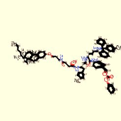 COc1ccc(C(NCCCC[C@H](NC(=O)C[C@H](Cc2ccc(C#N)cc2)NC(=O)CCC(=O)NCCCO[C@H]2CC[C@@]3(C)C(=CC[C@H]4[C@@H]5CC[C@H]([C@H](C)CCCC(C)C)[C@@]5(C)CC[C@@H]43)C2)C(=O)Nc2ccc(COC(=O)Oc3ccccc3)cc2)(c2ccccc2)c2ccccc2)cc1